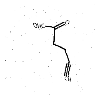 C#CCCC(=O)C=O